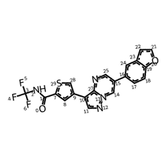 O=C(NC(F)(F)F)c1cc(-c2cnn3cc(-c4ccc5occc5c4)cnc23)cs1